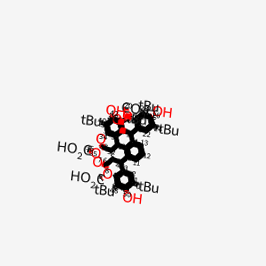 CC(C)(C)c1cc(C(CC(=O)OC(=O)O)c2cccc(C(CC(=O)OC(=O)O)c3cc(C(C)(C)C)c(O)c(C(C)(C)C)c3)c2C(CC(=O)OC(=O)O)c2cc(C(C)(C)C)c(O)c(C(C)(C)C)c2)cc(C(C)(C)C)c1O